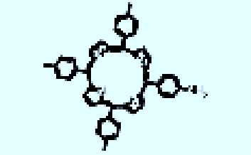 Cc1ccc(-c2c3nc(c(-c4ccc(C)cc4)c4ccc([nH]4)c(-c4ccc(N)cc4)c4nc(c(-c5ccc(C)cc5)c5ccc2[nH]5)C=C4)C=C3)cc1